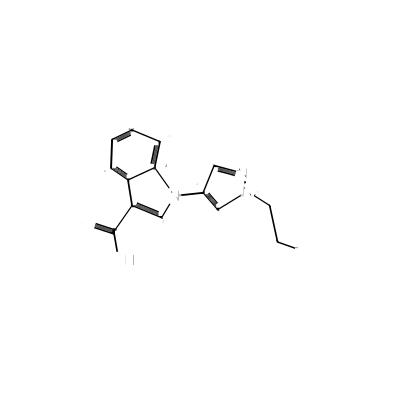 CC(=O)c1cn(-c2cnn(CCF)c2)c2ccccc12